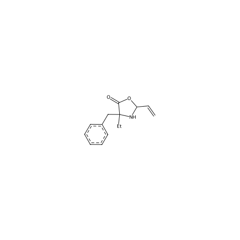 C=CC1NC(CC)(Cc2ccccc2)C(=O)O1